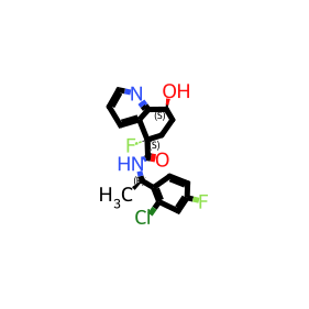 C[C@@H](NC(=O)[C@]1(F)CC[C@H](O)c2ncccc21)c1ccc(F)cc1Cl